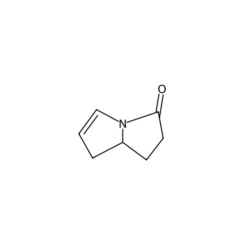 O=C1CCC2CC=CN12